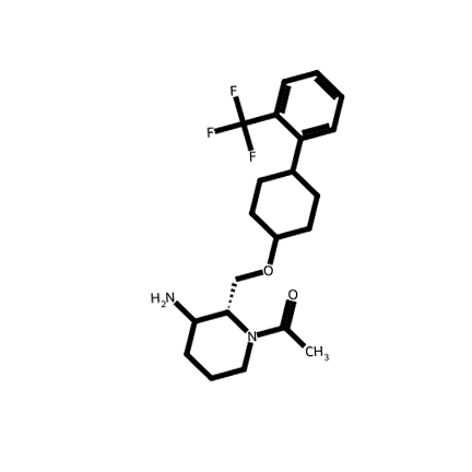 CC(=O)N1CCCC(N)[C@@H]1COC1CCC(c2ccccc2C(F)(F)F)CC1